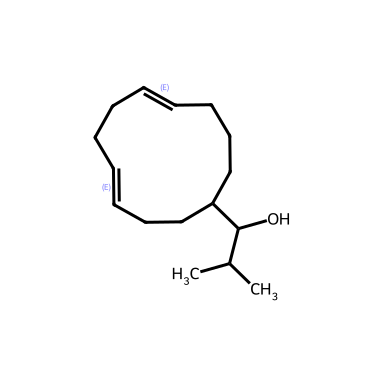 CC(C)C(O)C1CC/C=C/CC/C=C/CCC1